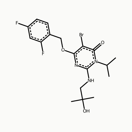 CC(C)n1c(NCC(C)(C)O)nc(OCc2ccc(F)cc2F)c(Br)c1=O